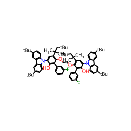 CC(C)(C)CC(C)(C)c1cc(-n2c3ccc(C(C)(C)C)cc3c3cc(C(C)(C)C)ccc32)c(O)c(-c2cccc(F)c2)c1OCCOc1c(C(C)(C)CC(C)(C)C)cc(-n2c3ccc(C(C)(C)C)cc3c3cc(C(C)(C)C)ccc32)c(O)c1-c1cccc(F)c1